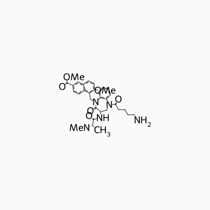 CN[C@@H](C)C(=O)NC1CN(C(=O)CCCCN)c2ccccc2N(Cc2c(OC)ccc3cc(C(=O)OC)ccc23)C1=O